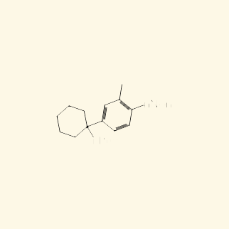 CCCCCCCCCc1ccc(C2(CCCCC)CCCCC2)cc1C